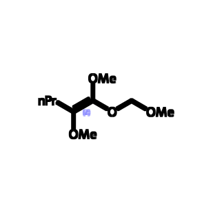 CCC/C(OC)=C(\OC)OCOC